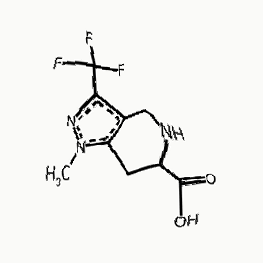 Cn1nc(C(F)(F)F)c2c1CC(C(=O)O)NC2